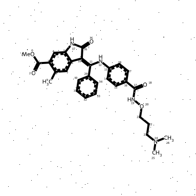 COC(=O)c1cc2c(cc1C)/C(=C(/Nc1ccc(C(=O)NOCCCN(C)C)cc1)c1ccccc1)C(=O)N2